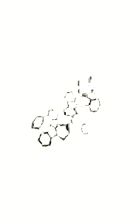 CC1(C)c2ccccc2-n2c3cc(N(c4ccccc4)c4ccc5c(c4)C4(c6ccccc6-c6ccccc64)c4ccccc4-5)ccc3c3cccc1c32